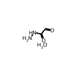 NNC(=O)C=O.O